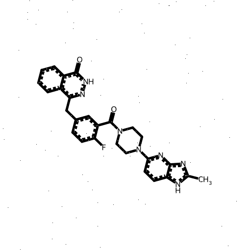 Cc1nc2nc(N3CCN(C(=O)c4cc(Cc5n[nH]c(=O)c6ccccc56)ccc4F)CC3)ccc2[nH]1